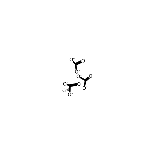 O=C([O-])[O-].O=C([O-])[O-].O=C([O-])[O-].[Cr+6]